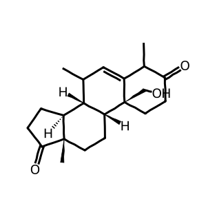 CC1C(=O)CC[C@@]2(CO)C1=CC(C)[C@@H]1[C@H]2CC[C@]2(C)C(=O)CC[C@@H]12